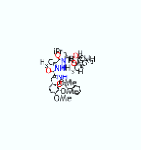 COc1ccc(C[C@H](NC(=O)CCc2ccccc2)C(=O)N[C@@H](C)C(=O)N[C@@H](CC(C)C)B2O[C@@H]3C[C@@H]4C[C@@H](C4(C)C)[C@]3(C)O2)c(OC)c1OC